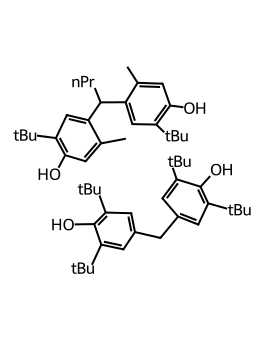 CC(C)(C)c1cc(Cc2cc(C(C)(C)C)c(O)c(C(C)(C)C)c2)cc(C(C)(C)C)c1O.CCCC(c1cc(C(C)(C)C)c(O)cc1C)c1cc(C(C)(C)C)c(O)cc1C